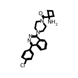 NC1(C(=O)N2CCN(c3nnc(-c4ccc(Cl)cc4)c4ccccc34)CC2)CCC1